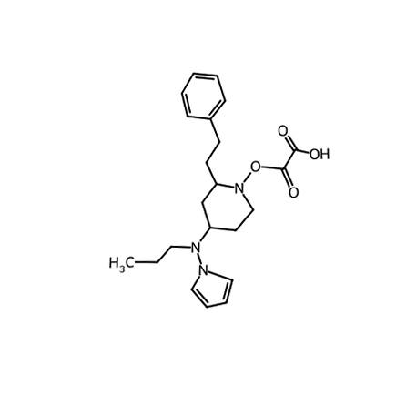 CCCN(C1CCN(OC(=O)C(=O)O)C(CCc2ccccc2)C1)n1cccc1